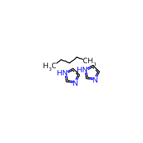 CCCCC.c1c[nH]cn1.c1c[nH]cn1